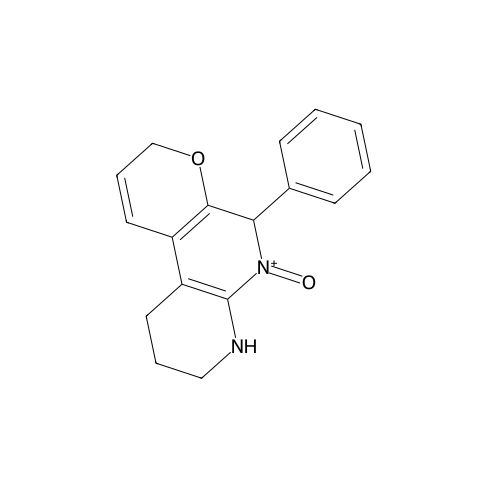 O=[N+]1C2=C(CCCN2)C2=C(OCC=C2)C1c1ccccc1